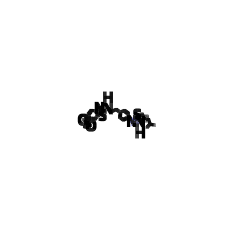 CC(C)C[C@@H]1CS/C(=N\c2ccc(CCNc3nc4ccc(S(C)(=O)=O)cc4s3)cc2)N1